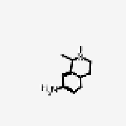 CC1C2=CC(N)=CCC2CCN1C